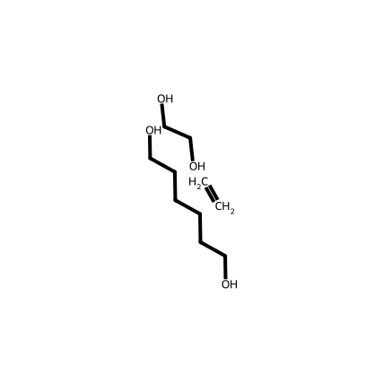 C=C.OCCCCCCO.OCCO